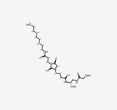 COCC(=O)NC[C@H](C=O)NC(=O)CCSC1CC(=O)N(CCC(=O)NCCOCCOCCC=O)C1=O